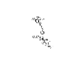 CCCc1c(OCCCSc2ccc(C(SCC(N)C(=O)NCC(=O)O)C(C)CC(=O)O)cc2)ccc(C(C)=O)c1O